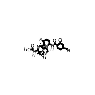 CC1(C)C(NC(=O)O)=N[C@](C)(c2nc(NC(=O)c3ccc(C#N)cc3Cl)ccc2F)[C@@H]2CCN[SH]21=O